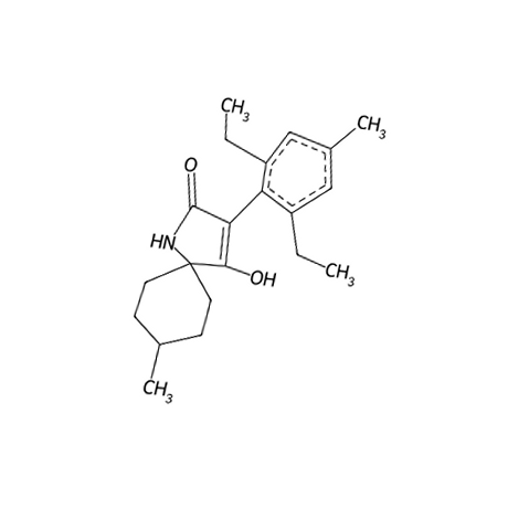 CCc1cc(C)cc(CC)c1C1=C(O)C2(CCC(C)CC2)NC1=O